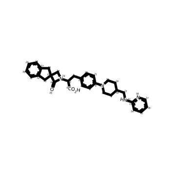 O=C(O)C(Cc1ccc(N2CCC(CNc3ccccn3)CC2)cc1)N1CC2(Cc3ccccc3C2)C1=O